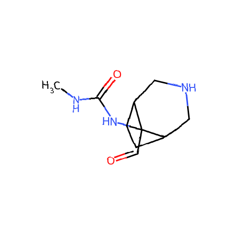 CNC(=O)NC1(C=O)C2CCC1CNC2